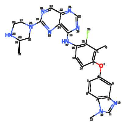 Cc1c(Oc2ccc3c(c2)ncn3C)ccc(Nc2ncnc3cnc(N4CCN[C@H](C)C4)nc23)c1F